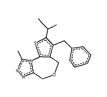 Cc1nnc2n1-c1sc(C(C)C)c(Cc3ccccc3)c1COC2